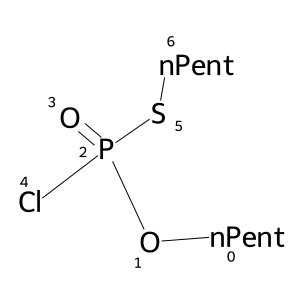 CCCCCOP(=O)(Cl)SCCCCC